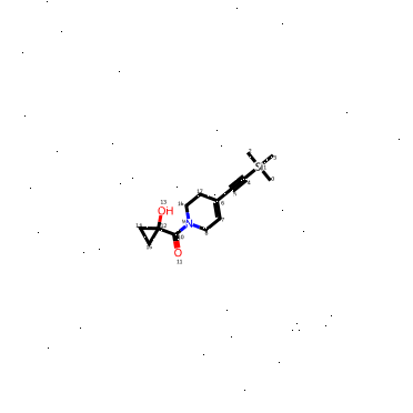 C[Si](C)(C)C#CC1=CCN(C(=O)C2(O)CC2)CC1